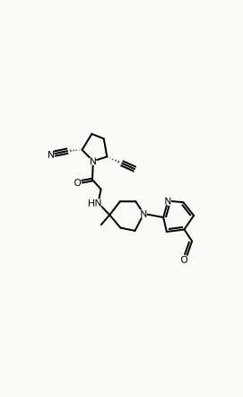 C#C[C@H]1CC[C@@H](C#N)N1C(=O)CNC1(C)CCN(c2cc(C=O)ccn2)CC1